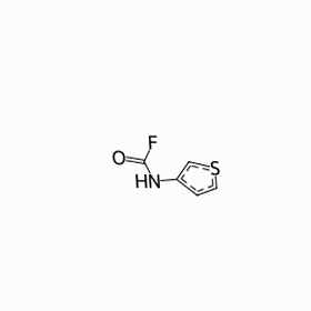 O=C(F)Nc1ccsc1